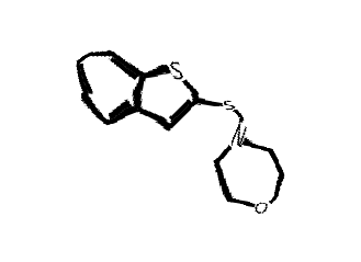 c1ccc2sc(SN3CCOCC3)cc2c1